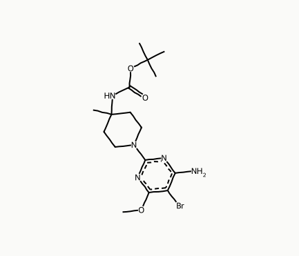 COc1nc(N2CCC(C)(NC(=O)OC(C)(C)C)CC2)nc(N)c1Br